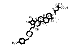 Cc1ccc(CN2CCN(C[C@@H](O)[C@@]34CC[C@]5(C)[C@H](CC[C@@H]6[C@@]7(C)CC[C@H](OC(=O)CC(C)(C)C(=O)O)C(C)(C)[C@@H]7CC[C@]65C)C3=C(C(C)C)C(=O)C4)CC2)cc1